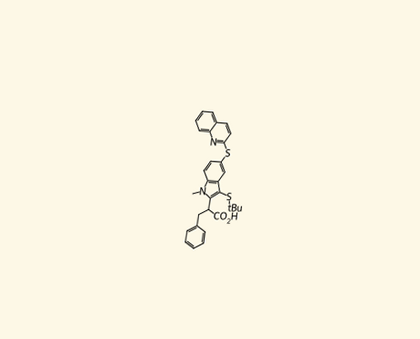 Cn1c(C(Cc2ccccc2)C(=O)O)c(SC(C)(C)C)c2cc(Sc3ccc4ccccc4n3)ccc21